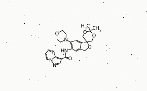 CC1(C)OCC2(CO1)OCc1cc(NC(=O)c3cnn4cccnc34)c(N3CCOCC3)cc12